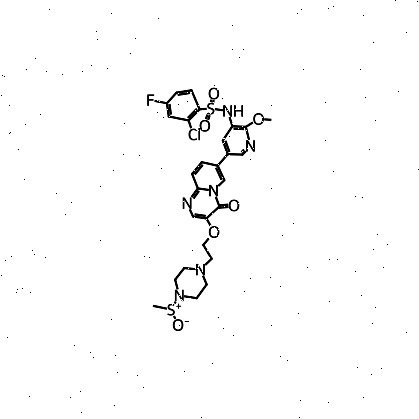 COc1ncc(-c2ccc3ncc(OCCN4CCN([S+](C)[O-])CC4)c(=O)n3c2)cc1NS(=O)(=O)c1ccc(F)cc1Cl